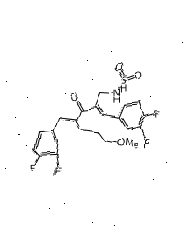 COCCC/C(=C\c1ccc(F)c(F)c1)C(=O)/C(=C/c1ccc(F)c(F)c1)CN[SH](=O)=O